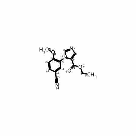 CCOC(=O)c1cncn1-c1cc(C#N)ccc1OC